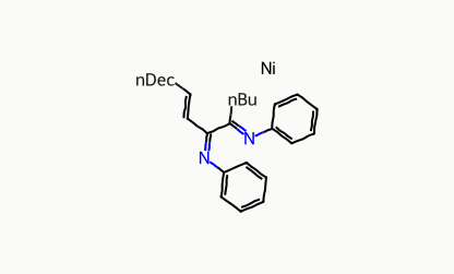 CCCCCCCCCCC=CC(=Nc1ccccc1)C(CCCC)=Nc1ccccc1.[Ni]